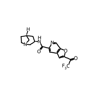 O=C(N[C@@H]1C[C@H]2CCN(C2)C1)c1cc2cc(C(=O)C(F)(F)F)oc2cn1